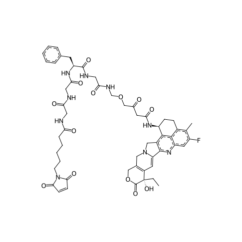 CC[C@@]1(O)C(=O)OCC2=C1C=C1c3nc4cc(F)c(C)c5c4c(c3CN1C2)[C@@H](NC(=O)CC(=O)COCNC(=O)CNC(=O)[C@H](Cc1ccccc1)NC(=O)CNC(=O)CNC(=O)CCCCCN1C(=O)C=CC1=O)CC5